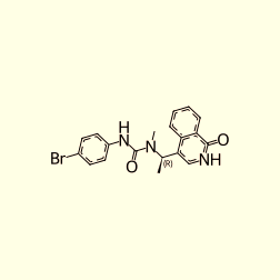 C[C@H](c1c[nH]c(=O)c2ccccc12)N(C)C(=O)Nc1ccc(Br)cc1